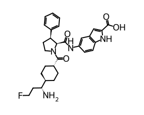 N[C@H](CCF)[C@H]1CC[C@H](C(=O)N2CC[C@@H](c3ccccc3)[C@H]2C(=O)Nc2ccc3[nH]c(C(=O)O)cc3c2)CC1